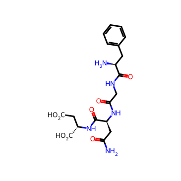 NC(=O)C[C@H](NC(=O)CNC(=O)[C@@H](N)Cc1ccccc1)C(=O)N[C@@H](CC(=O)O)C(=O)O